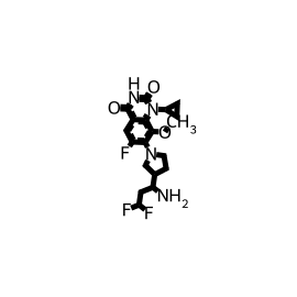 COc1c(N2CCC(C(N)CC(F)F)C2)c(F)cc2c(=O)[nH]c(=O)n(C3CC3)c12